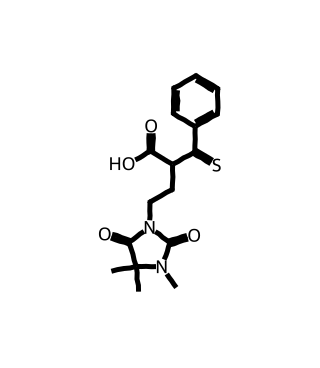 CN1C(=O)N(CCC(C(=O)O)C(=S)c2ccccc2)C(=O)C1(C)C